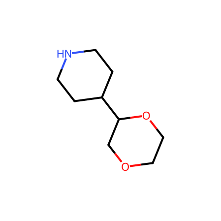 C1CC(C2COCCO2)CCN1